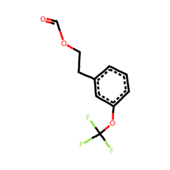 O=[C]OCCc1cccc(OC(F)(F)F)c1